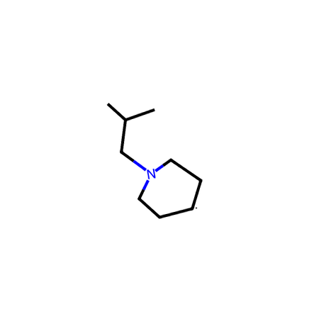 CC(C)CN1CC[CH]CC1